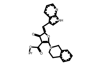 CC(C)OC(=O)C1=C(N2CCc3ccccc3C2)O/C(=C\c2c[nH]c3ncccc23)C1=O